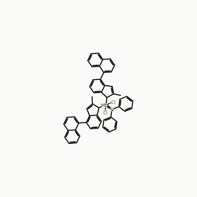 CC1=Cc2c(-c3cccc4ccccc34)cccc2[CH]1[Hf]([Cl])([Cl])([CH]1C(C)=Cc2c(-c3cccc4ccccc34)cccc21)=[Si](c1ccccc1)c1ccccc1